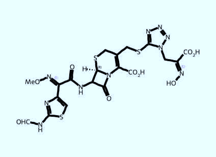 CO/N=C(/C(=O)NC1C(=O)N2C(C(=O)O)=C(CSc3nnnn3C/C(=N\O)C(=O)O)CS[C@H]12)c1csc(NC=O)n1